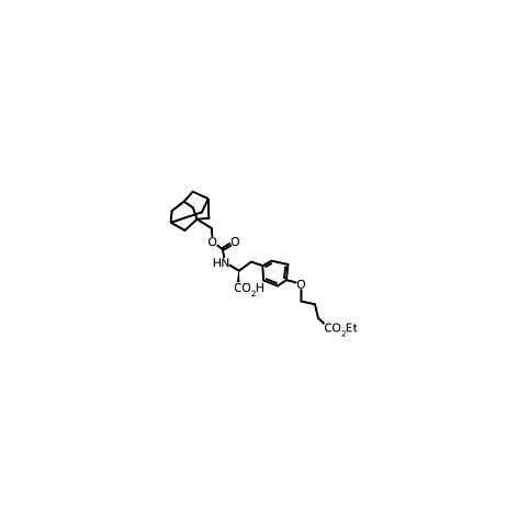 CCOC(=O)CCCOc1ccc(C[C@H](NC(=O)OCC23CC4CC(CC(C4)C2)C3)C(=O)O)cc1